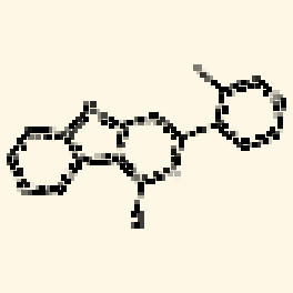 Cc1ccccc1-c1cc2oc3ccccc3c2c(Cl)n1